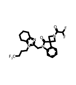 O=C(C(F)F)N1CC2(C1)C(=O)N(Cc1nc3c(n1CCCC(F)(F)F)CCCC3)c1ccccc12